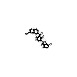 N#Cc1cnc2ccc(C(=O)c3c(F)ccc(NC(=O)c4cccc(Cl)c4)c3F)cc2n1